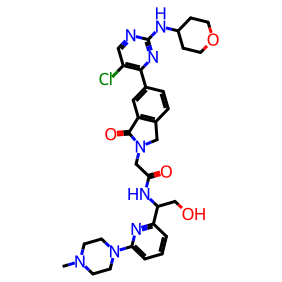 CN1CCN(c2cccc(C(CO)NC(=O)CN3Cc4ccc(-c5nc(NC6CCOCC6)ncc5Cl)cc4C3=O)n2)CC1